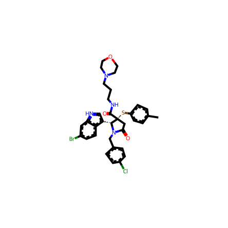 Cc1ccc(S[C@]2(C(=O)NCCCN3CCOCC3)CC(=O)N(Cc3ccc(Cl)cc3)[C@@H]2c2c[nH]c3cc(Br)ccc23)cc1